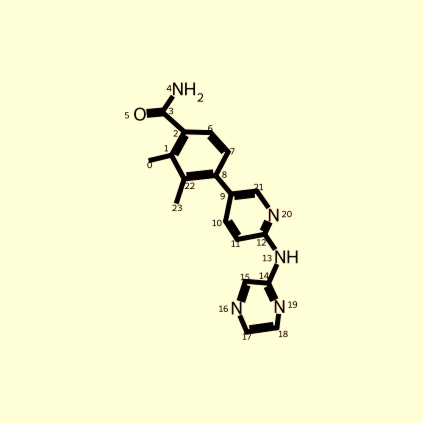 Cc1c(C(N)=O)ccc(-c2ccc(Nc3cnccn3)nc2)c1C